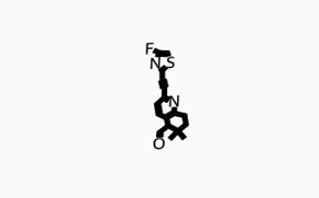 CC1(C)CCc2nc(C#Cc3nc(F)cs3)ccc2C1C=O